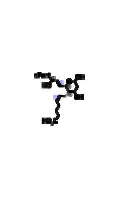 CCCCC[C@H](O)/C=C/[C@H]1OC(O)CC(O)[C@@H]1C/C=C\CCCC(=O)O